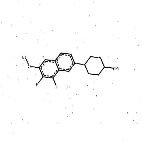 CCCC1CCC(c2ccc3cc(OCC)c(F)c(F)c3c2)CC1